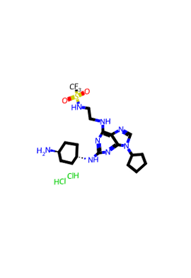 Cl.Cl.N[C@H]1CC[C@H](Nc2nc(NCCNS(=O)(=O)C(F)(F)F)c3ncn(C4CCCC4)c3n2)CC1